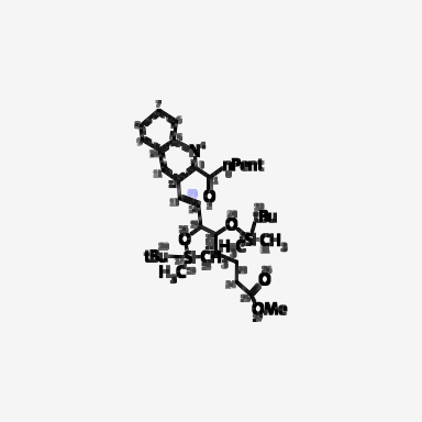 CCCCCC(=O)c1nc2ccccc2cc1/C=C/C(O[Si](C)(C)C(C)(C)C)C(CCCC(=O)OC)O[Si](C)(C)C(C)(C)C